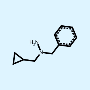 NN(Cc1ccccc1)CC1CC1